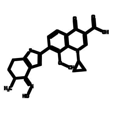 COc1c(-c2cc3c(s2)CCC(C)/C3=N\O)ccc2c(=O)c(C(=O)O)cn(C3CC3)c12